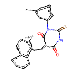 COc1ccc2ccccc2c1/C=C1/C(=O)NC(=S)N(c2cccc(C)c2)C1=O